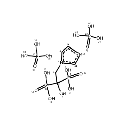 O=P(O)(O)C(O)(Cn1ccnc1)P(=O)(O)O.O=P(O)(O)O.O=P(O)(O)O